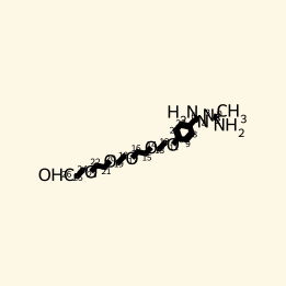 C/C(N)=N/N=C(\N)c1ccc(OCCOCCOCCOCCOCCC=O)cc1